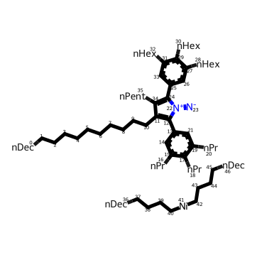 CCCCCCCCCCCCCCCCCCCCC1=C(c2cc(CCC)c(CCC)c(CCC)c2)[N+](=[N-])C(c2cc(CCCCCC)c(CCCCCC)c(CCCCCC)c2)=C1CCCCC.CCCCCCCCCCCCC[CH2][Ni][CH2]CCCCCCCCCCCCC